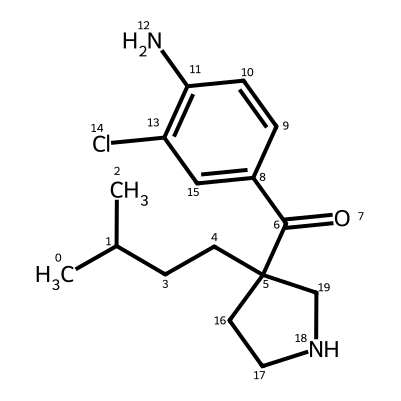 CC(C)CCC1(C(=O)c2ccc(N)c(Cl)c2)CCNC1